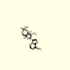 C[C@H]1[C@@H]2OP(=O)(O)OC[C@H]2O[C@H]1c1cnc2c(N)ncnn12